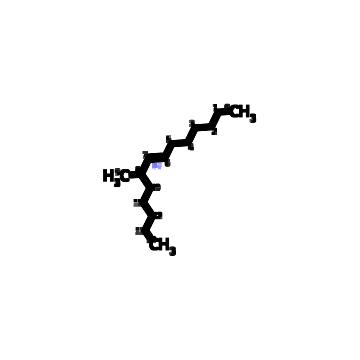 CCCCCC/C=C/C(C)CCCCC